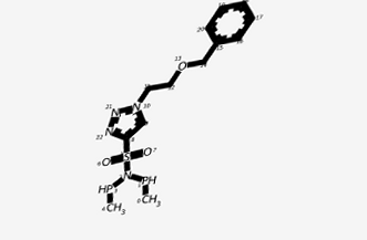 CPN(PC)S(=O)(=O)c1cn(CCOCc2ccccc2)nn1